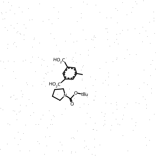 CC(C)(C)OC(=O)N1CCCC1.Cc1cc(C(=O)O)cc(C(=O)O)c1